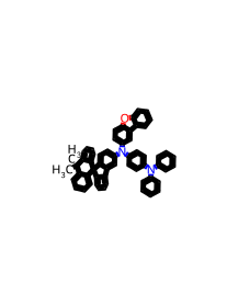 CC1(C)c2ccccc2C2(c3ccccc3-c3cc(N(c4ccc(N(c5ccccc5)c5ccccc5)cc4)c4ccc5oc6ccccc6c5c4)ccc32)c2ccccc21